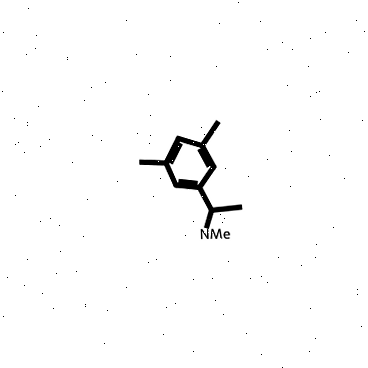 CNC(C)c1cc(C)cc(C)c1